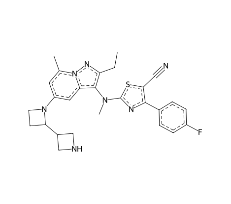 CCc1nn2c(C)cc(N3CCC3C3CNC3)cc2c1N(C)c1nc(-c2ccc(F)cc2)c(C#N)s1